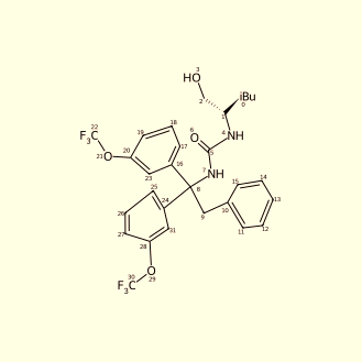 CC[C@H](C)[C@@H](CO)NC(=O)NC(Cc1ccccc1)(c1cccc(OC(F)(F)F)c1)c1cccc(OC(F)(F)F)c1